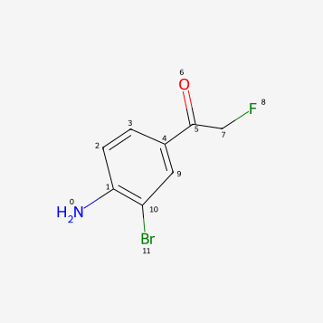 Nc1ccc(C(=O)CF)cc1Br